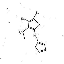 CCC1=C(CC)C([SiH2]C)=[C]([Ni][C]2=CC=CC2)C1